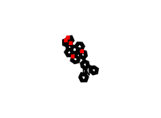 c1ccc(-n2c3ccccc3c3cc(-c4cccc(C5(c6ccccc6)c6ccccc6C6(c7ccccc7)c7ccccc7-c7cccc5c76)c4)ccc32)cc1